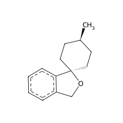 C[C@H]1CC[C@]2(CC1)OCc1ccccc12